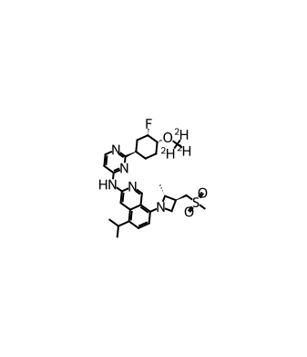 [2H]C([2H])([2H])O[C@@H]1CC[C@@H](c2nccc(Nc3cc4c(C(C)C)ccc(N5C[C@H](CS(C)(=O)=O)[C@H]5C)c4cn3)n2)C[C@@H]1F